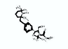 CC(C)(C)OC(=O)N1[C@H](CO)[C@@H](c2ccc(CC3(C)CCCC(C)(C)N3O)cc2)OC1(C)C